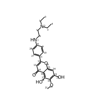 CCN(CC)CCNc1ccc(-c2cc(=O)c3c(O)c(OC)c(O)cc3o2)cc1